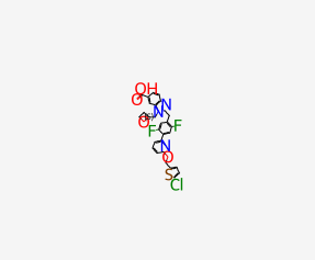 O=C(O)c1ccc2nc(Cc3cc(F)c(-c4cccc(OCc5ccc(Cl)s5)n4)cc3F)n(C[C@@H]3CCO3)c2c1